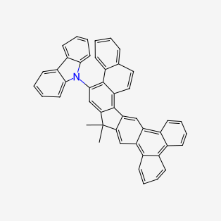 CC1(C)c2cc3c4ccccc4c4ccccc4c3cc2-c2c1cc(-n1c3ccccc3c3ccccc31)c1c2ccc2ccccc21